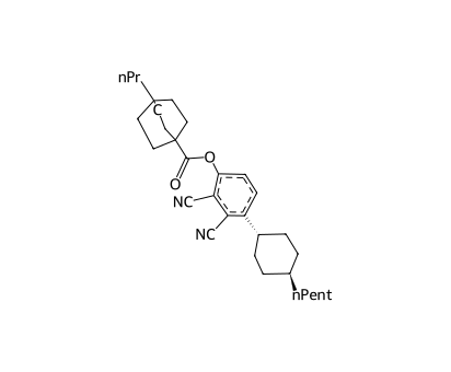 CCCCC[C@H]1CC[C@H](c2ccc(OC(=O)C34CCC(CCC)(CC3)CC4)c(C#N)c2C#N)CC1